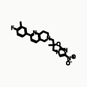 Cc1cc(-c2ccc3c(n2)CCN(CC2(C)Cn4cc([N+](=O)[O-])nc4O2)C3)ccc1F